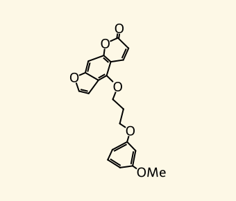 COc1cccc(OCCCOc2c3ccoc3cc3oc(=O)ccc23)c1